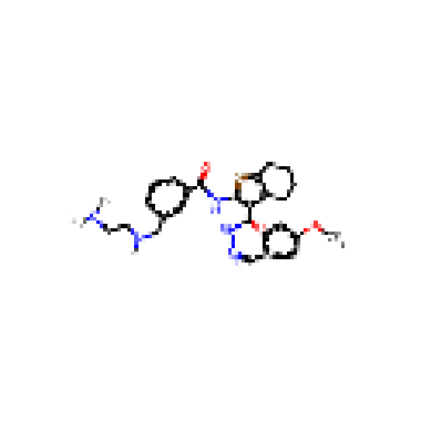 CCN(CC)CCN(C)Cc1cccc(C(=O)Nc2sc3c(c2C(=O)N/N=C\c2ccc(OC(F)(F)F)cc2)CCCC3)c1